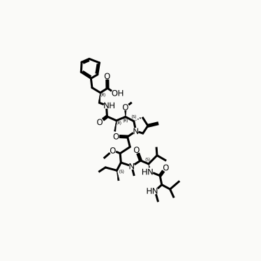 C=C1C[C@@H]([C@H](OC)[C@@H](C)C(=O)NC[C@@H](Cc2ccccc2)C(=O)O)N(C(=O)CC(OC)C([C@@H](C)CC)N(C)C(=O)[C@@H](NC(=O)C(NC)C(C)C)C(C)C)C1